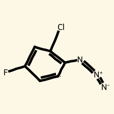 [N-]=[N+]=Nc1[c]cc(F)cc1Cl